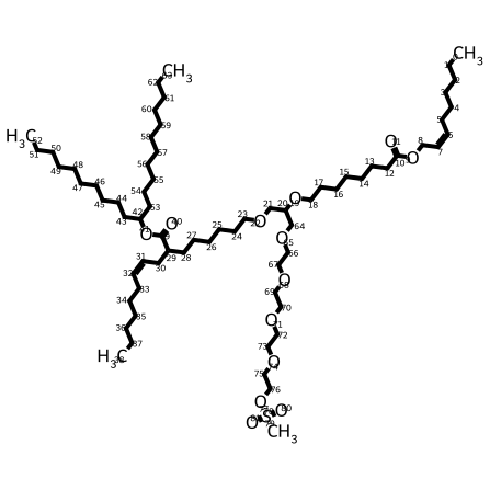 CCCCCC/C=C\COC(=O)CCCCCCCOC(COCCCCCCC(C/C=C\CCCCCC)C(=O)OC(CCCCCCCCCC)CCCCCCCCCCC)COCCOCCOCCOCCOS(C)(=O)=O